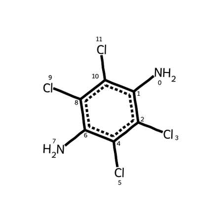 Nc1c(Cl)c(Cl)c(N)c(Cl)c1Cl